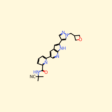 CC(C)(C#N)NC(=O)c1cccc(-c2cnc3[nH]c(-c4cnn(CC5COC5)c4)cc3c2)n1